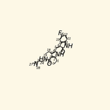 CCc1[nH]c(C=C2C(=O)Nc3ccc(F)cc32)c(CC)c1C(=O)NCCN(C)C